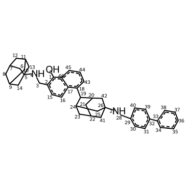 Oc1c(CNC23CC4CC(CC(C4)C2)C3)ccc2c(C3C4CC5CC3CC(NCc3ccc(-c6ccccc6)cc3)(C5)C4)cccc12